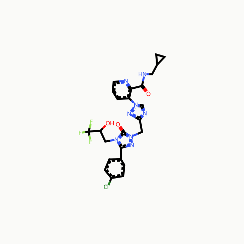 O=C(NCC1CC1)c1ncccc1-n1cnc(Cn2nc(-c3ccc(Cl)cc3)n(CC(O)C(F)(F)F)c2=O)n1